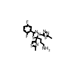 Cc1nc(C2(CCCN)SC(c3cc(F)ccc3F)=NN2c2nnc(C)s2)cs1